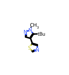 Cn1ncc(-c2cncs2)c1C(C)(C)C